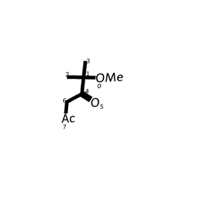 COC(C)(C)C(=O)CC(C)=O